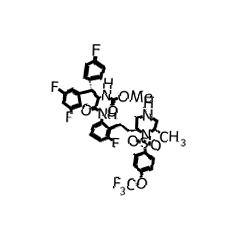 COC(=O)N[C@H](C(=O)Nc1cccc(F)c1CC[C@H]1CNC[C@@H](C)N1S(=O)(=O)c1ccc(OC(F)(F)F)cc1)[C@@H](c1ccc(F)cc1)c1cc(F)cc(F)c1